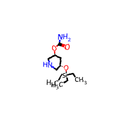 CC[Si](CC)(CC)O[C@@H]1CNC[C@@H](OC(N)=O)C1